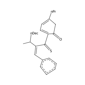 CCCCCCCCCCC(C)C(=Cc1ccccc1)C(=S)C1=CC=C(CCC)CC1=O